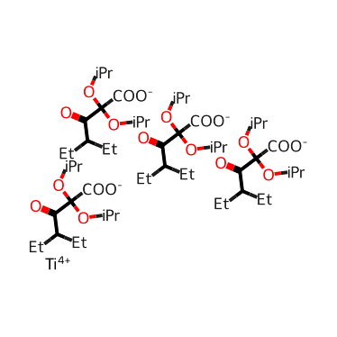 CCC(CC)C(=O)C(OC(C)C)(OC(C)C)C(=O)[O-].CCC(CC)C(=O)C(OC(C)C)(OC(C)C)C(=O)[O-].CCC(CC)C(=O)C(OC(C)C)(OC(C)C)C(=O)[O-].CCC(CC)C(=O)C(OC(C)C)(OC(C)C)C(=O)[O-].[Ti+4]